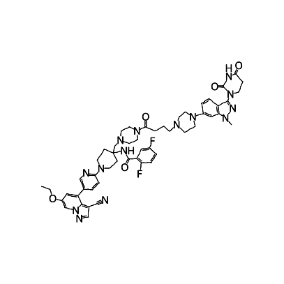 CCOc1cc(-c2ccc(N3CCC(CN4CCN(C(=O)CCCN5CCN(c6ccc7c(N8CCC(=O)NC8=O)nn(C)c7c6)CC5)CC4)(NC(=O)c4cc(F)ccc4F)CC3)nc2)c2c(C#N)cnn2c1